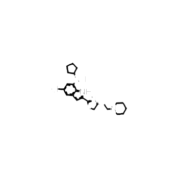 Clc1cc(NC2CCCC2)c2[nH]c(C3=N[C@H](CCN4CCCCC4)CS3)cc2c1